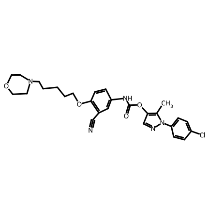 Cc1c(OC(=O)Nc2ccc(OCCCCCN3CCOCC3)c(C#N)c2)cnn1-c1ccc(Cl)cc1